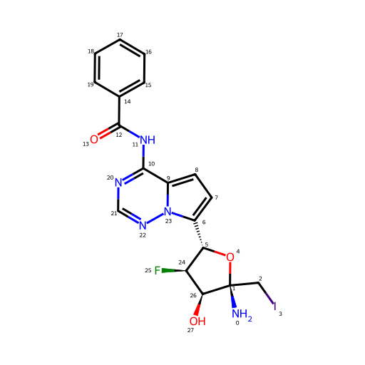 N[C@]1(CI)O[C@@H](c2ccc3c(NC(=O)c4ccccc4)ncnn23)[C@H](F)[C@@H]1O